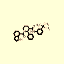 CC(C)(C)c1cccc(NC(=O)C2CCCN(C(=O)c3cccc4cc[nH]c34)C2c2ccccc2)c1